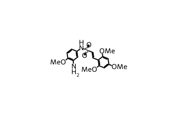 COc1cc(OC)c(/C=C/S(=O)(=O)Nc2ccc(OC)c(N)c2)c(OC)c1